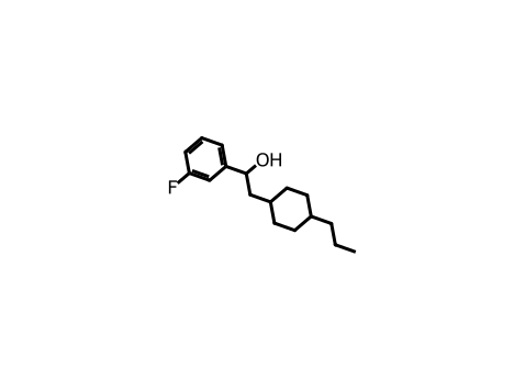 CCCC1CCC(CC(O)c2cccc(F)c2)CC1